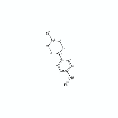 CCNc1ccc(N2CCN(CC)CC2)cc1